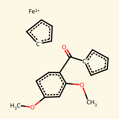 COc1ccc(C(=O)[c-]2cccc2)c(OC)c1.[Fe+2].c1cc[cH-]c1